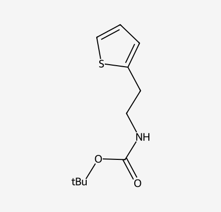 CC(C)(C)OC(=O)NCCc1cccs1